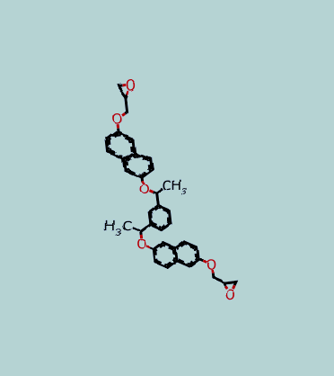 CC(Oc1ccc2cc(OCC3CO3)ccc2c1)c1cccc(C(C)Oc2ccc3cc(OCC4CO4)ccc3c2)c1